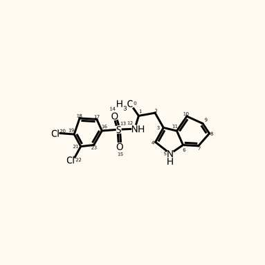 CC(Cc1c[nH]c2ccccc12)NS(=O)(=O)c1ccc(Cl)c(Cl)c1